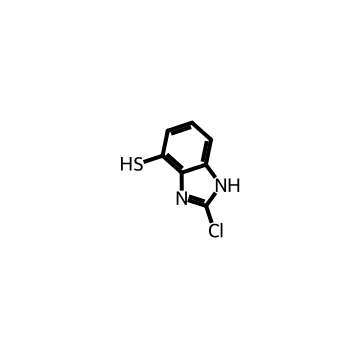 Sc1cccc2[nH]c(Cl)nc12